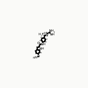 CCCOc1ccc2cc(C(=O)Nc3ccc(/C(C)=N/NC(=N)N)cc3)[nH]c2c1